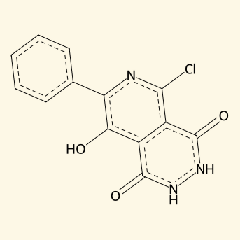 O=c1[nH][nH]c(=O)c2c(O)c(-c3ccccc3)nc(Cl)c12